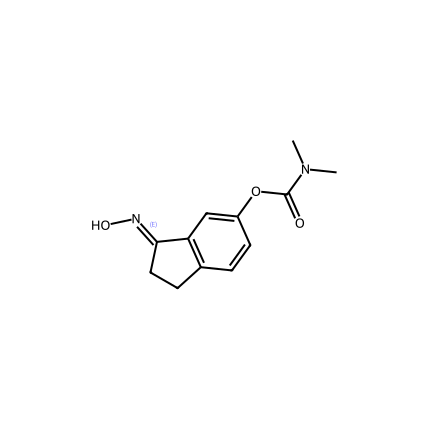 CN(C)C(=O)Oc1ccc2c(c1)/C(=N/O)CC2